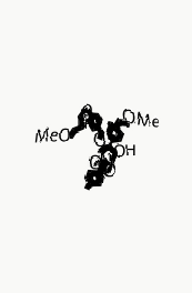 COCCCN1CCOc2ccc(CO[C@H]3CN(S(=O)(=O)c4ccc(C)cc4)C[C@@H](O)[C@@H]3c3ccc(CCOC)cc3)cc21